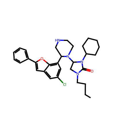 CCCCN1CC(N2CCNCC2c2cc(Cl)cc3cc(-c4ccccc4)oc23)N(C2CCCCC2)C1=O